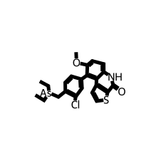 CC[As](CC)Cc1ccc(-c2c(OC)ccc3[nH]c(=O)c4sccc4c23)cc1Cl